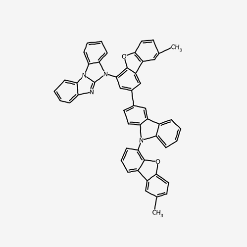 Cc1ccc2oc3c(-n4c5ccccc5c5cc(-c6cc(-n7c8ccccc8n8c9ccccc9nc78)c7oc8ccc(C)cc8c7c6)ccc54)cccc3c2c1